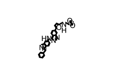 CS(=O)(=O)CCNCc1ccc(-c2ccc3c(Nc4ccc5c(cnn5Cc5ccccc5)c4)ncnc3c2)o1